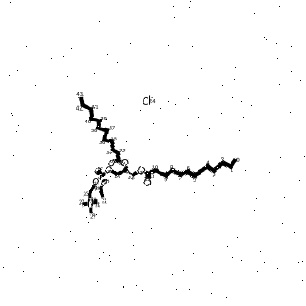 CCCCCCCCCCCC(=O)OC[C@H](COP(=O)(OCC)OCC[N+](C)(C)C)OC(=O)CCCCCCCCCCC.[Cl-]